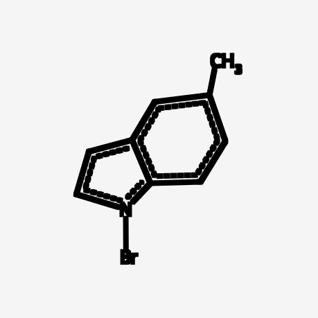 Cc1ccc2c(ccn2Br)c1